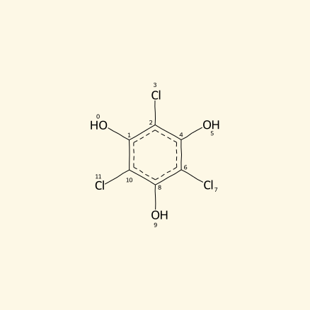 Oc1c(Cl)c(O)c(Cl)c(O)c1Cl